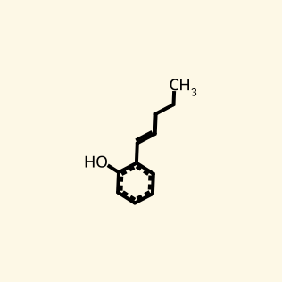 CCCC=Cc1ccccc1O